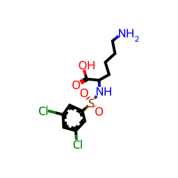 NCCCCC(NS(=O)(=O)c1cc(Cl)cc(Cl)c1)C(=O)O